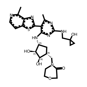 Cc1nc(NCC2(O)CC2)nc(N[C@@H]2C[C@H](CN3CCOCC3=O)[C@@H](O)[C@H]2O)c1-c1nc2c(C)nccc2s1